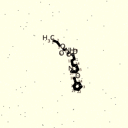 CCCCOC(=O)NOC(=O)CCc1ccc(OCc2ccccc2)cn1